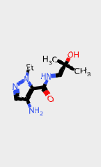 CCn1ncc(N)c1C(=O)NCC(C)(C)O